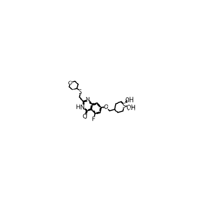 O=c1[nH]c(CSC2CCOCC2)nc2cc(OCC3CCS(O)(O)CC3)cc(F)c12